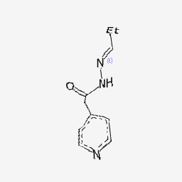 CC/C=N/NC(=O)c1ccncc1